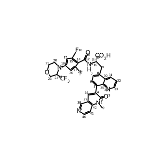 Cn1c(=O)c(-c2ccc(C[C@H](NC(=O)c3c(F)cc(N4CCOCC4C(F)(F)F)cc3F)C(=O)O)c3cccnc23)cc2cnccc21